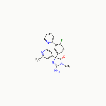 CN1C(=O)C(c2ccnc(C(F)(F)F)c2)(c2ccc(F)c(-c3ccccn3)c2)N=C1N